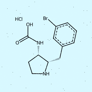 Cl.O=C(O)N[C@H]1CCN[C@H]1Cc1cccc(Br)c1